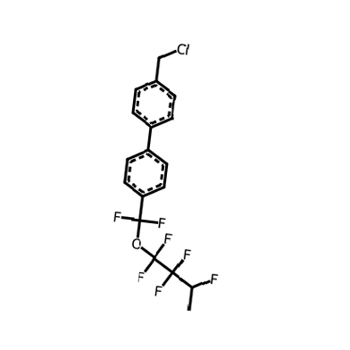 CC(F)C(F)(F)C(F)(F)OC(F)(F)c1ccc(-c2ccc(CCl)cc2)cc1